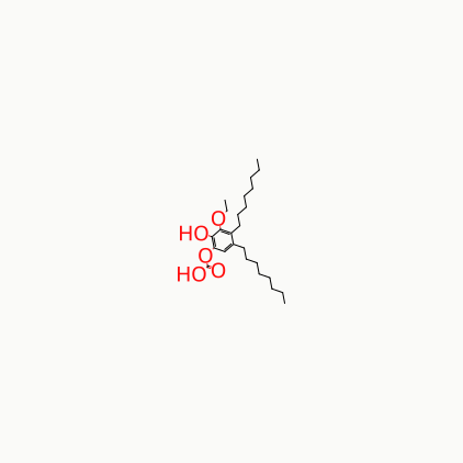 CCCCCCCCc1cc(OC(=O)O)c(O)c(OCC)c1CCCCCCCC